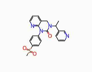 CC(c1cccnc1)N1Cc2cccnc2N(c2ccc(S(C)(=O)=O)cc2)C1=O